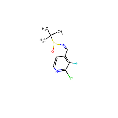 CC(C)(C)[S+]([O-])/N=C\c1ccnc(Cl)c1F